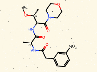 C[C@H](NC(=O)Cc1cccc([N+](=O)[O-])c1)C(=O)NC(C(=O)N1CCOCC1)[C@H](C)OC(C)(C)C